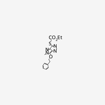 CCOC(=O)CSc1ncnc2c(OCCc3ccccc3)n(C)nc12